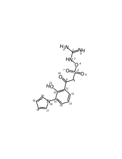 N=C(N)NOS(=O)(=O)CC(=O)c1cccc(-n2cccc2)c1O